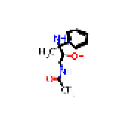 C[C@](N)(c1ccccc1)[C@@H](O)CNC(=O)C(F)(F)F